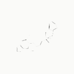 CC[C@@H](/C=C/C(=O)N1C2CCC1c1ccccc12)N[C@@H](Cc1cccs1)C(N)=O